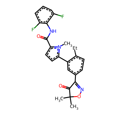 CCc1ccc(C2=NOC(C)(C)C2=O)cc1-c1ccc(C(=O)Nc2c(F)cccc2F)n1C